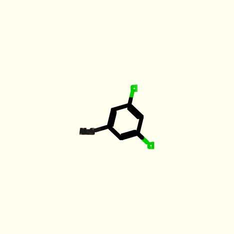 [CH2]Sc1cc(Cl)cc(Cl)c1